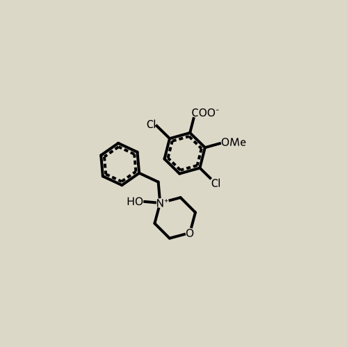 COc1c(Cl)ccc(Cl)c1C(=O)[O-].O[N+]1(Cc2ccccc2)CCOCC1